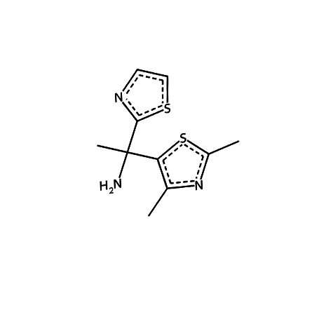 Cc1nc(C)c(C(C)(N)c2nccs2)s1